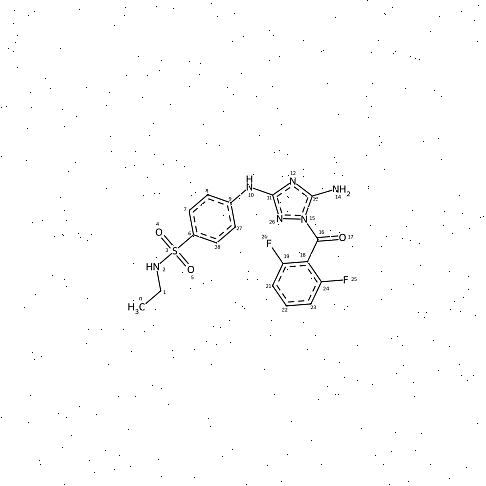 CCNS(=O)(=O)c1ccc(Nc2nc(N)n(C(=O)c3c(F)cccc3F)n2)cc1